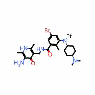 CCN(c1cc(Br)cc(C(=O)NCc2c(C)[nH]c(C)c(N)c2=O)c1C)[C@H]1CC[C@H](N(C)C)CC1